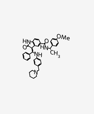 COc1ccc([C@@H](C)NC(=O)c2ccc3c(c2)C(=C(Nc2ccc(CN4CCCCC4)cc2)c2ccccc2)C(=O)N3)cc1